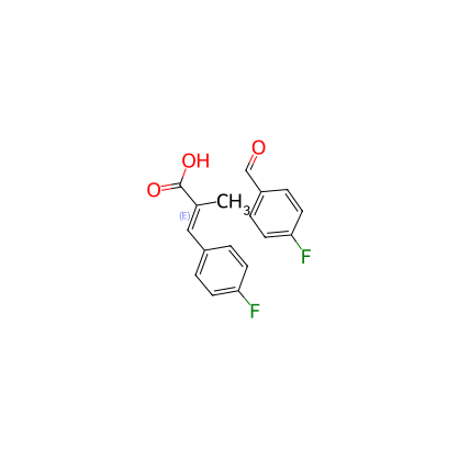 C/C(=C\c1ccc(F)cc1)C(=O)O.O=Cc1ccc(F)cc1